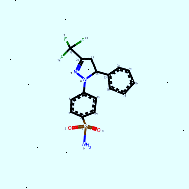 NS(=O)(=O)c1ccc(N2N=C(C(F)(F)F)CC2c2ccccc2)cc1